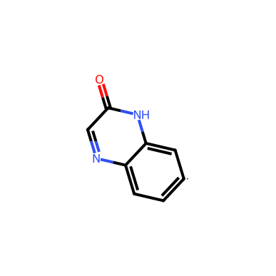 O=c1cnc2cc[c]cc2[nH]1